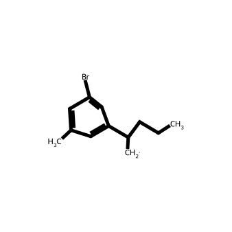 [CH2]C(CCC)c1cc(C)cc(Br)c1